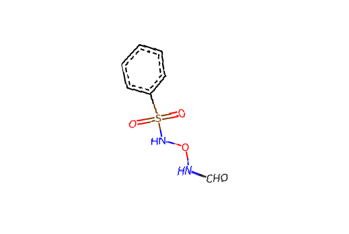 O=CNONS(=O)(=O)c1ccccc1